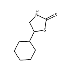 S=C1NCC(C2CCCCC2)S1